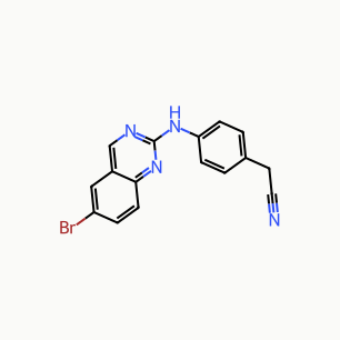 N#CCc1ccc(Nc2ncc3cc(Br)ccc3n2)cc1